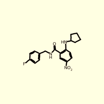 O=C(NCc1ccc(F)cc1)c1cc([N+](=O)[O-])ccc1NC1CCCC1